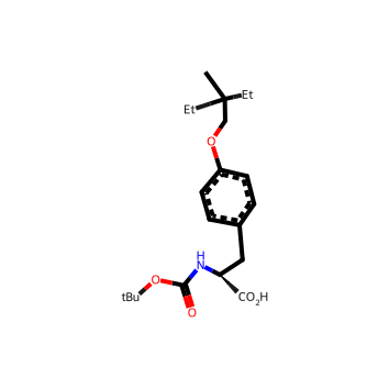 CCC(C)(CC)COc1ccc(C[C@H](NC(=O)OC(C)(C)C)C(=O)O)cc1